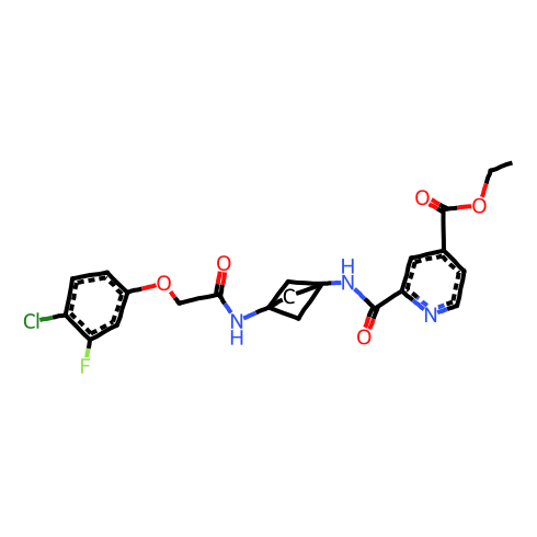 CCOC(=O)c1ccnc(C(=O)NC23CC(NC(=O)COc4ccc(Cl)c(F)c4)(C2)C3)c1